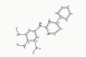 COc1cc(Nc2nccc(-c3ccccc3)n2)cc(OC)c1OC